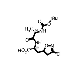 C[C@H](NC(=O)OC(C)(C)C)C(=O)N[C@@H](CC1CC(Cl)=NO1)C(=O)O